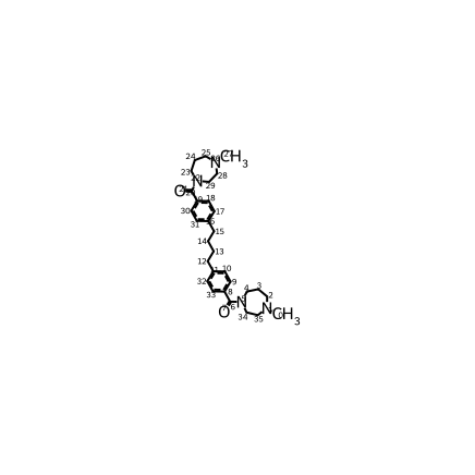 CN1CCCN(C(=O)c2ccc(CCCCc3ccc(C(=O)N4CCCN(C)CC4)cc3)cc2)CC1